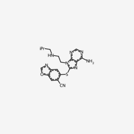 CC(C)CNCCn1c(Sc2cc3ncoc3cc2C#N)nc2c(N)ncnc21